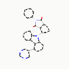 O=C1c2cccc(-n3c4ccccc4c4c(-c5cncnc5)cccc43)c2C(=O)N1c1ccccc1